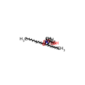 CCCCCCCCCCCCCCCCOC(CCCCCCCCCCCC)C(=O)N(CCC)CCC(CC(O)CO)OC